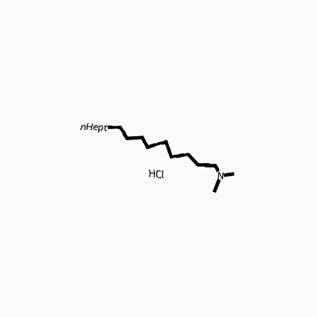 CCCCCCCCCCCCCCCCN(C)C.Cl